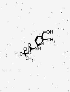 Cc1nc(NC(=O)OC(C)(C)C)ccc1CO